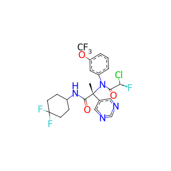 C[C@](C(=O)NC1CCC(F)(F)CC1)(c1cncnc1)N(C(=O)[C@H](F)Cl)c1cccc(OC(F)(F)F)c1